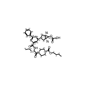 CCCCOC(=O)N1CCN(C(=O)[C@H](CCC)NC(=O)c2cc(N3C[C@@H]4[C@H](C3)[C@@H]4OC(=O)O)nc(-c3ccccc3)n2)CC1